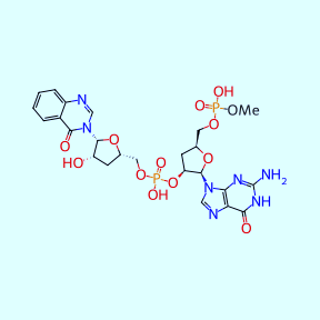 COP(=O)(O)OC[C@@H]1C[C@H](OP(=O)(O)OC[C@@H]2C[C@H](O)[C@H](n3cnc4ccccc4c3=O)O2)[C@H](n2cnc3c(=O)[nH]c(N)nc32)O1